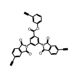 C#Cc1cccc(OC(=O)c2cc(N3C(=O)c4ccc(C#C)cc4C3=O)cc(N3C(=O)c4ccc(C#C)cc4C3=O)c2)c1